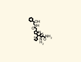 NC(=O)c1sc2nc3c(c(-c4cccs4)c2c1N)CCC3CC(=O)NCC(O)c1ccccc1